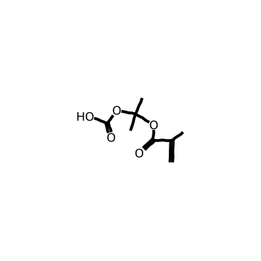 C=C(C)C(=O)OC(C)(C)OC(=O)O